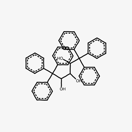 OC(C(O)C(c1ccccc1)(c1ccccc1)c1ccccc1)C(O)C(c1ccccc1)(c1ccccc1)c1ccccc1